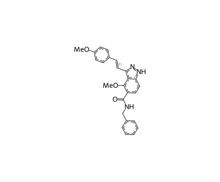 COc1ccc(/C=C/c2n[nH]c3ccc(C(=O)NCc4ccccc4)c(OC)c23)cc1